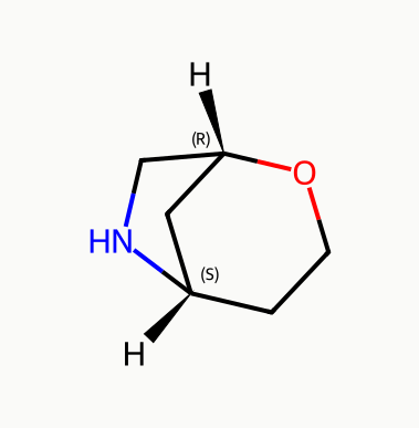 C1C[C@H]2C[C@H](CN2)O1